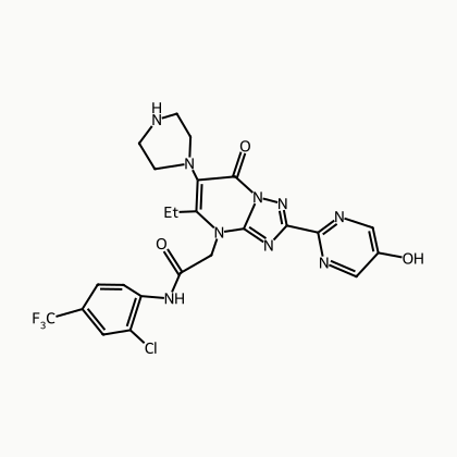 CCc1c(N2CCNCC2)c(=O)n2nc(-c3ncc(O)cn3)nc2n1CC(=O)Nc1ccc(C(F)(F)F)cc1Cl